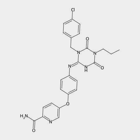 CCCn1c(=O)[nH]/c(=N\c2ccc(Oc3ccc(C(N)=O)nc3)cc2)n(Cc2ccc(Cl)cc2)c1=O